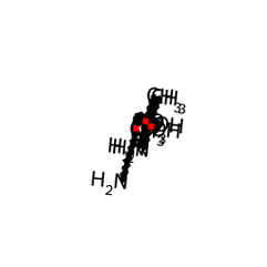 CCCCCCCCCCCCCCCCN.CCCCCCCCCCCCCCCCN.CCCCCCCCCCCCCCCCN.Cc1ccccc1.O=P(O)(O)O